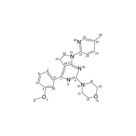 COc1cccc(-c2nc(N3CCOCC3)nc3c2CCN3c2ccc(C)cn2)c1